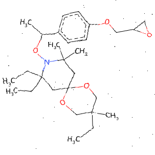 CCC1(C)COC2(CC(C)(C)N(OC(C)c3ccc(OCC4CO4)cc3)C(CC)(CC)C2)OC1